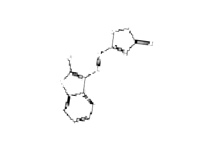 O=C1CSC(N=Nc2c(O)[nH]c3ccccc23)=N1